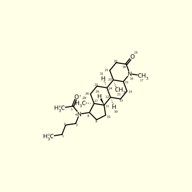 CCCCN(C(C)=O)C1CC[C@H]2[C@@H]3CCC4N(C)C(=O)CC[C@]4(C)[C@@H]3CC[C@]12C